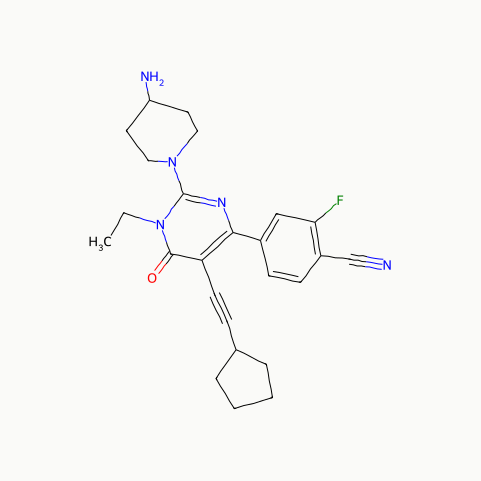 CCn1c(N2CCC(N)CC2)nc(-c2ccc(C#N)c(F)c2)c(C#CC2CCCC2)c1=O